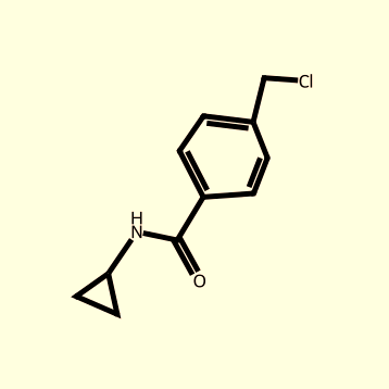 O=C(NC1CC1)c1ccc(CCl)cc1